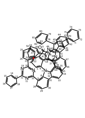 O=C1c2cccc(-n3c4c(-c5nc(-c6ccccc6)nc(-c6ccccc6)n5)cccc4c4cccc(-c5nc(-c6ccccc6)nc(-c6ccccc6)n5)c43)c2C(=O)N1c1c(-c2ccccc2)cc(-c2ccccc2)cc1-c1ccccc1